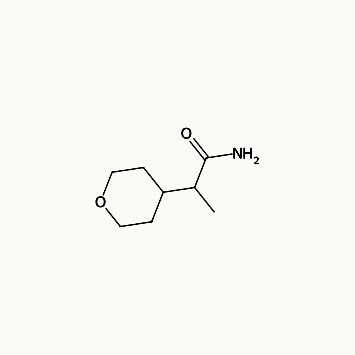 CC(C(N)=O)C1CCOCC1